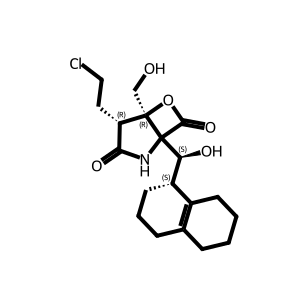 O=C1NC2([C@@H](O)[C@H]3CCCC4=C3CCCC4)C(=O)O[C@]2(CO)[C@H]1CCCl